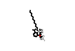 CCCCCCCCCCCC[N+]1(c2c(C(C)C)cccc2C(C)C)N=NN=C1CC(N)=O